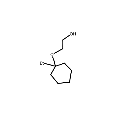 CCC1(OCCO)CCCCC1